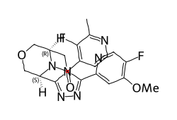 COc1cc(-c2nnc3n2C[C@@H]2COC[C@H]3N2C(=O)c2ccnc(C)c2F)ncc1F